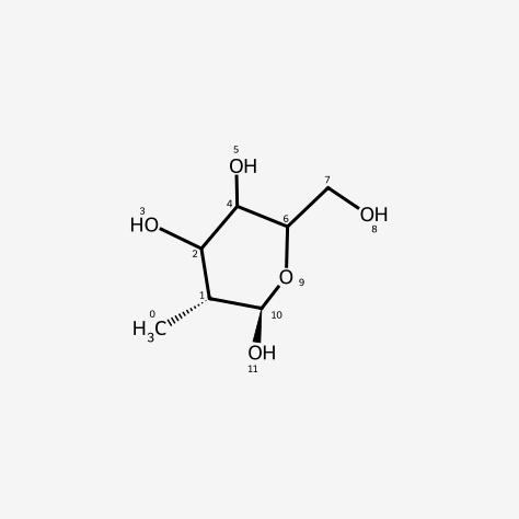 C[C@@H]1C(O)C(O)C(CO)O[C@H]1O